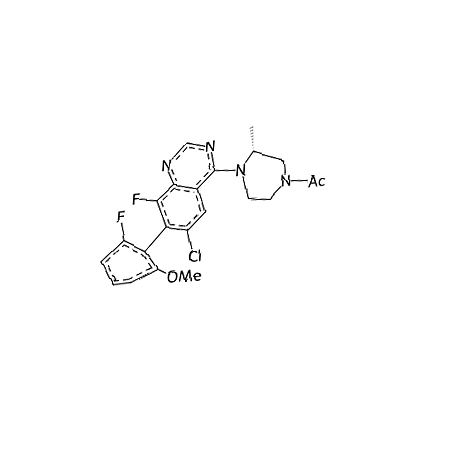 COc1cccc(F)c1-c1c(Cl)cc2c(N3CCN(C(C)=O)C[C@H]3C)ncnc2c1F